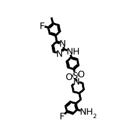 Cc1ccc(-c2ccnc(Nc3ccc(S(=O)(=O)N4CCC(Cc5ccc(F)cc5N)CC4)cc3)n2)cc1F